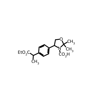 CCOC(=O)C(C)c1ccc(C2COC(C)(C)N2C(=O)O)cc1